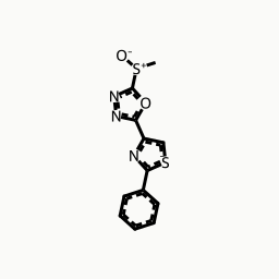 C[S+]([O-])c1nnc(-c2csc(-c3ccccc3)n2)o1